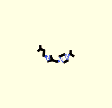 CC(C)CCN1CC(CN2CCN(C(C)C)CC2)C1